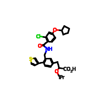 CC(C)OC(Cc1ccc(-c2ccsc2)c(CNC(=O)c2ccc(OC3CCCC3)cc2Cl)c1)C(=O)O